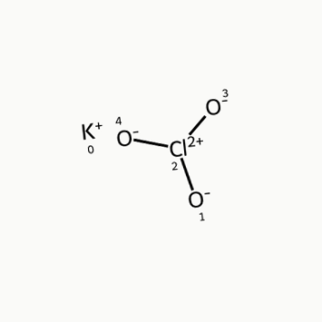 [K+].[O-][Cl+2]([O-])[O-]